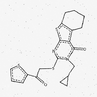 O=C(CSc1nc2sc3c(c2c(=O)n1CC1CC1)CCCC3)c1cccs1